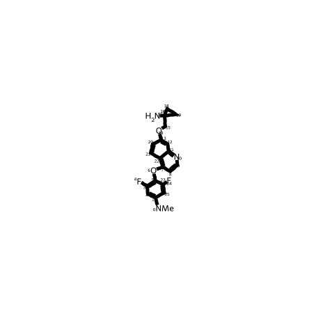 CNc1cc(F)c(Oc2ccnc3cc(OCC4(N)CC4)ccc23)c(F)c1